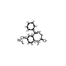 CC#N.CN1C(=O)CN=C(c2ccccc2)c2cc(Cl)ccc21